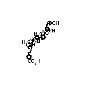 Cc1c(-c2nc3cc(CN4CC[C@@H](O)C4)cc(C#N)c3o2)cccc1-c1cccc(NC(=O)c2nc3c(n2C)CCN(CCC2CCC(C(=O)O)CC2)C3)c1Cl